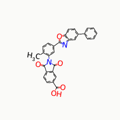 Cc1ccc(-c2nc3cc(-c4ccccc4)ccc3o2)cc1N1C(=O)c2ccc(C(=O)O)cc2C1=O